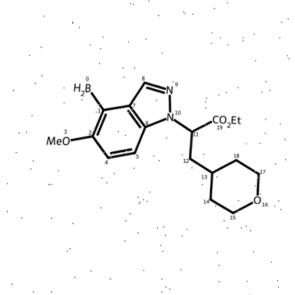 Bc1c(OC)ccc2c1cnn2C(CC1CCOCC1)C(=O)OCC